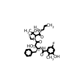 C=CCNC(=O)C1N(C(=O)[C@@H](O)[C@H](Cc2ccccc2)NC(=O)c2cc(F)cc(O)c2C)CSC1(C)C